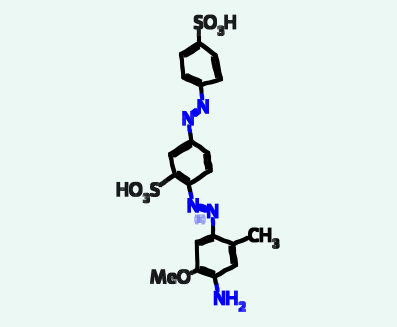 COc1cc(/N=N/c2ccc(N=Nc3ccc(S(=O)(=O)O)cc3)cc2S(=O)(=O)O)c(C)cc1N